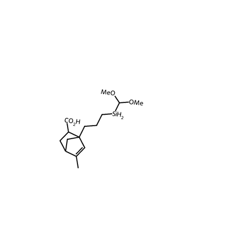 COC(OC)[SiH2]CCCC12C=C(C)C(CC1C(=O)O)C2